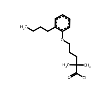 CCCCc1ccccc1OCCCC(C)(C)C(=O)Cl